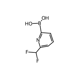 OB(O)c1cccc(C(F)F)n1